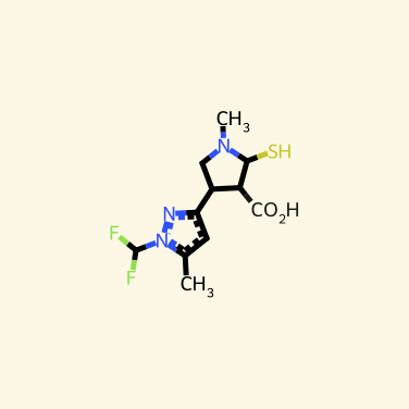 Cc1cc(C2CN(C)C(S)C2C(=O)O)nn1C(F)F